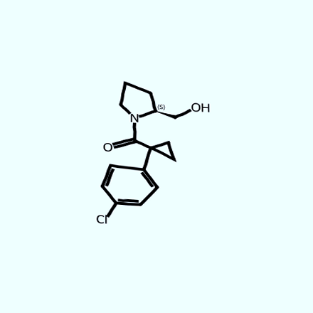 O=C(N1CCC[C@H]1CO)C1(c2ccc(Cl)cc2)CC1